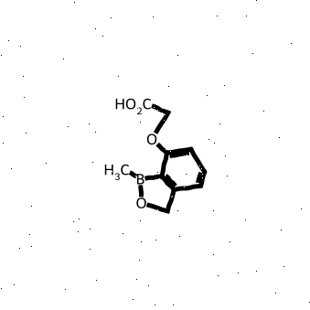 CB1OCc2cccc(OCC(=O)O)c21